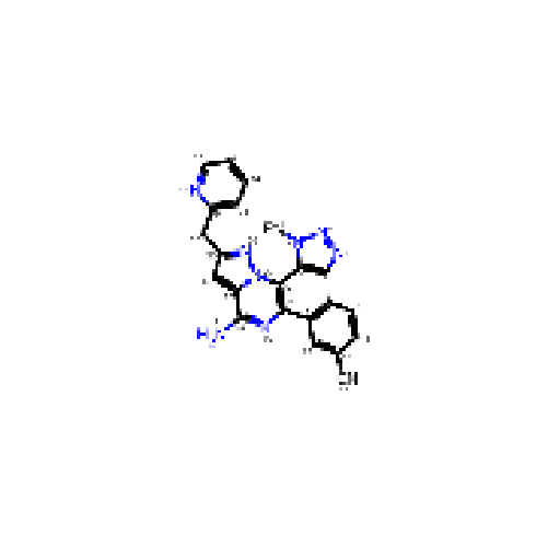 CCn1nncc1-c1c(-c2cccc(C#N)c2)nc(N)c2cc(Cc3ccccn3)nn12